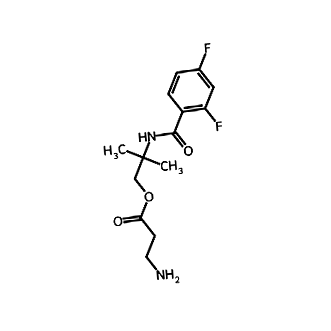 CC(C)(COC(=O)CCN)NC(=O)c1ccc(F)cc1F